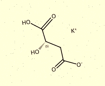 O=C([O-])C[C@H](O)C(=O)O.[K+]